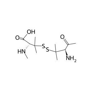 CN[C@H](C(=O)O)C(C)(C)SSC(C)(C)[C@H](N)C(C)=O